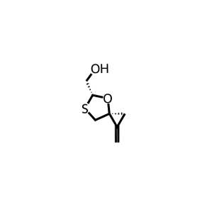 C=C1C[C@@]12CS[C@H](CO)O2